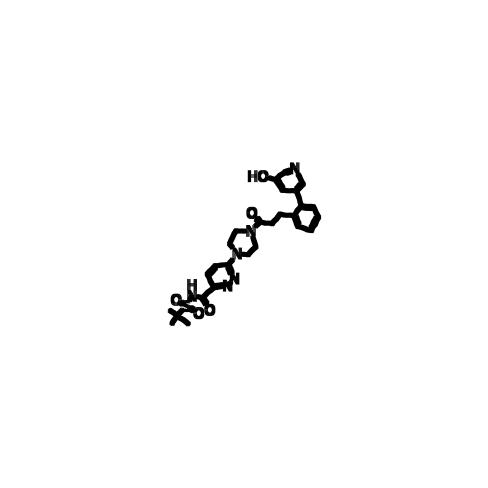 CC(C)(C)S(=O)(=O)NC(=O)c1ccc(N2CCN(C(=O)CCc3ccccc3-c3cncc(O)c3)CC2)nn1